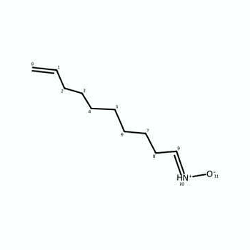 C=CCCCCCCCC=[NH+][O-]